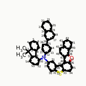 CC1(C)c2ccccc2-c2c(N(c3ccc(-c4ccc5ccccc5c4)cc3)c3ccc4sc5ccc6oc7c8ccccc8ccc7c6c5c4c3)cccc21